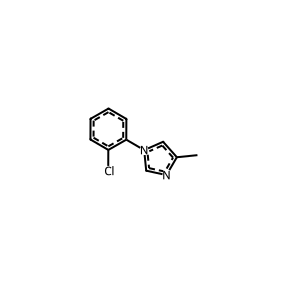 Cc1cn(-c2ccccc2Cl)cn1